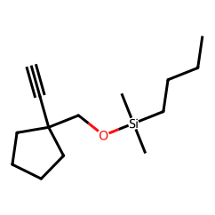 C#CC1(CO[Si](C)(C)CCCC)CCCC1